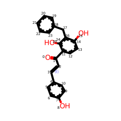 O=C(/C=C/c1ccc(O)cc1)c1ccc(O)c(Cc2ccccc2)c1O